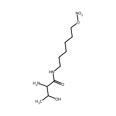 CC(O)C(N)C(=O)NCCCCCCO[N+](=O)[O-]